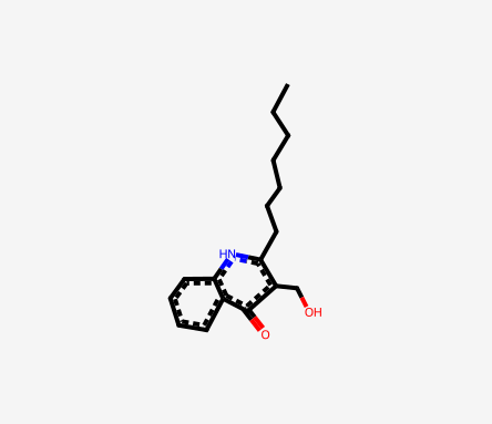 CCCCCCCc1[nH]c2ccccc2c(=O)c1CO